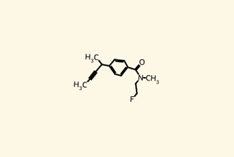 CC#CC(C)c1ccc(C(=O)N(C)CCF)cc1